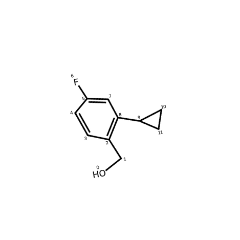 OCc1ccc(F)cc1C1CC1